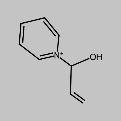 C=CC(O)[n+]1ccccc1